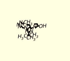 Cn1nnnc1Cn1ccc2c(N3CCC(O)C3)nc(C(C)(C)C)nc21